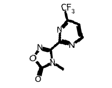 Cn1c(-c2nccc(C(F)(F)F)n2)noc1=O